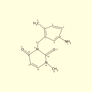 Cc1ccc(N)cc1Cn1c(=O)ccn(C)c1=O